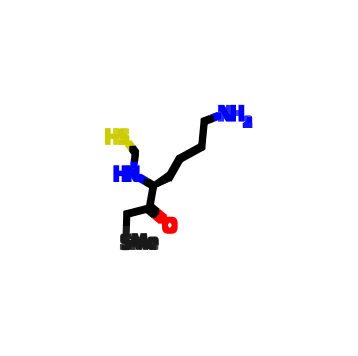 CSCC(=O)[C@H](CCCCN)NCS